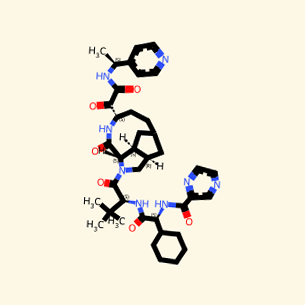 C[C@H](NC(=O)C(=O)[C@@H]1CCC2C[C@H]3CN(C(=O)[C@@H](NC(=O)[C@@H](NC(=O)c4cnccn4)C4CCCCC4)C(C)(C)C)[C@H](C(=O)N1)[C@H]3C2)c1ccncc1